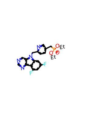 CCOP(=O)(Cc1ccc(Cn2c3cncnc3c3c(F)cc(F)cc32)nc1)OCC